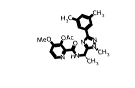 COc1ccnc(C(=O)N[C@@H](C)c2nc(-c3cc(C)cc(C)c3)nn2C)c1OC(C)=O